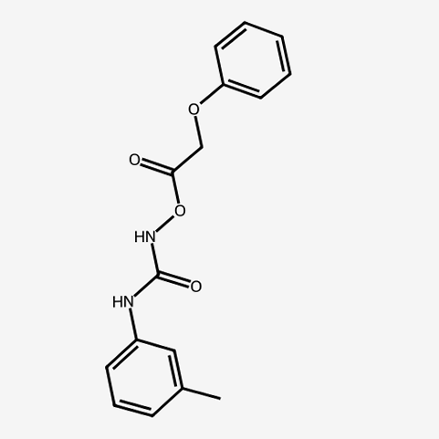 Cc1cccc(NC(=O)NOC(=O)COc2ccccc2)c1